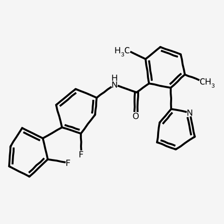 Cc1ccc(C)c(-c2ccccn2)c1C(=O)Nc1ccc(-c2ccccc2F)c(F)c1